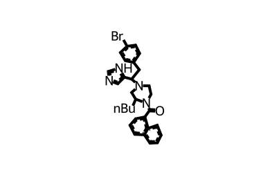 CCCCC1CN(C(Cc2ccc(Br)cc2)c2cnc[nH]2)CCN1C(=O)c1cccc2ccccc12